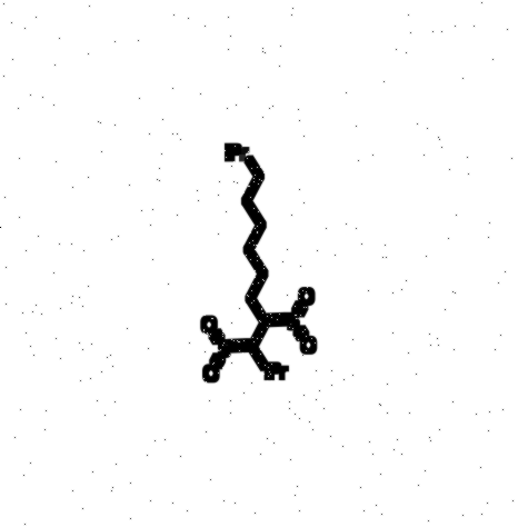 CC(C)CCCCCCC(C(C(C)C)=S(=O)=O)=S(=O)=O